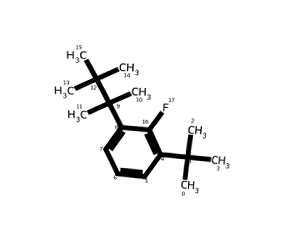 CC(C)(C)c1cccc(C(C)(C)C(C)(C)C)c1F